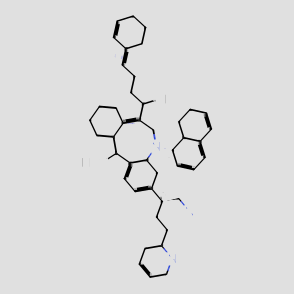 CC(CC/C=C1/C=CCCC1)/C1=C2\CCCCC2C(C)C2=CC=C([C@@H](CN)CCC3CC=CCN3)CC2N([C@H]2C=CC=C3C=CCCC32)C1